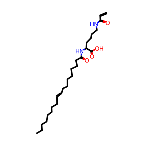 C=CC(=O)NCCCCC(NC(=O)CCCCCCC/C=C/CCCCCCCC)C(=O)O